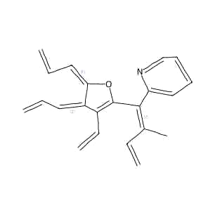 C=C/C=c1/c(C=C)c(/C(=C(/C)C=C)c2ccccn2)o/c1=C/C=C